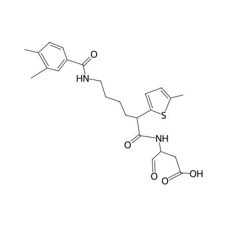 Cc1ccc(C(CCCCNC(=O)c2ccc(C)c(C)c2)C(=O)NC(C=O)CC(=O)O)s1